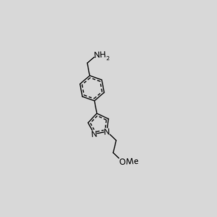 COCCn1cc(-c2ccc(CN)cc2)cn1